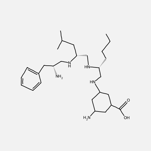 CCCC[C@H](CNC1CC(N)CC(C(=O)O)C1)NC[C@@H](CC(C)C)NC[C@H](N)Cc1ccccc1